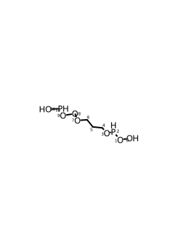 OOPOCCCOOOPO